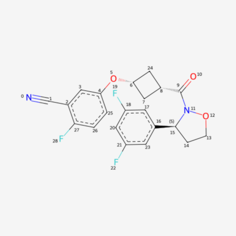 N#Cc1cc(O[C@H]2C[C@@H](C(=O)N3OCC[C@H]3c3cc(F)cc(F)c3)C2)ccc1F